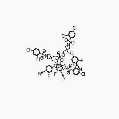 N#Cc1ccc(OCC2(COP(=O)(OCC3(COc4ccc(C#N)c(F)c4)CN(S(=O)(=O)c4ccc(Cl)cc4Cl)C3)OCC3(COc4ccc(C#N)c(F)c4)CN(S(=O)(=O)c4ccc(Cl)cc4Cl)C3)CN(S(=O)(=O)c3ccc(Cl)cc3Cl)C2)cc1F